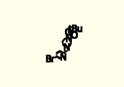 CC(C)(C)OC(=O)N1CCCN(Cc2ccc(Br)cn2)CC1